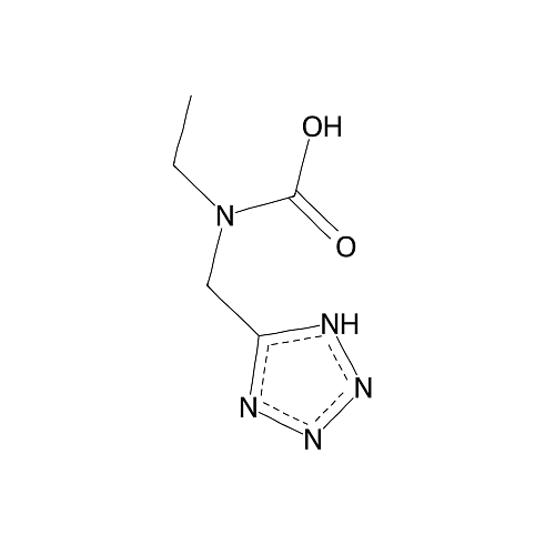 CCN(Cc1nnn[nH]1)C(=O)O